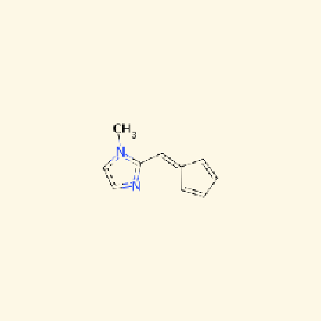 Cn1ccnc1C=C1C=CC=C1